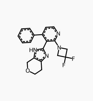 FC1(F)CN(c2nccc(-c3ccccc3)c2-c2nc3c([nH]2)COCC3)C1